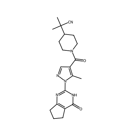 Cc1c(C(=O)N2CCC(C(C)(C)C#N)CC2)cnn1-c1nc2c(c(=O)[nH]1)CCC2